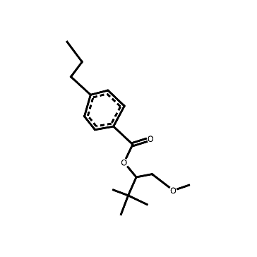 CCCc1ccc(C(=O)OC(COC)C(C)(C)C)cc1